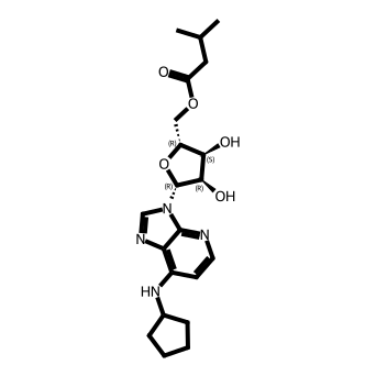 CC(C)CC(=O)OC[C@H]1O[C@@H](n2cnc3c(NC4CCCC4)ccnc32)[C@H](O)[C@@H]1O